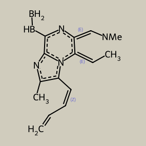 BBc1nc(=C/NC)/c(=C\C)n2c(/C=C\C=C)c(C)nc12